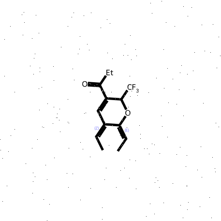 C/C=C1/C=C(C(=O)CC)C(C(F)(F)F)O/C1=C/C